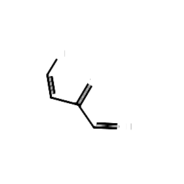 C=CC(=O)/C=C\C